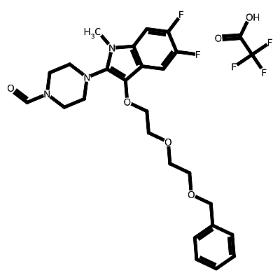 Cn1c(N2CCN(C=O)CC2)c(OCCOCCOCc2ccccc2)c2cc(F)c(F)cc21.O=C(O)C(F)(F)F